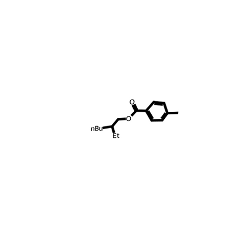 CCCCC(CC)COC(=O)c1ccc(C)cc1